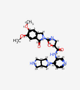 COc1cc2c(cc1OC)C(=O)N(C1=NCC(C(=O)Nc3cnccc3N3CC4CNCC4C3)O1)C2